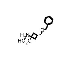 N[C@]1(C(=O)O)C[C@H](COCc2ccccc2)C1